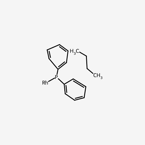 CCCC.[Rh][P](c1ccccc1)c1ccccc1